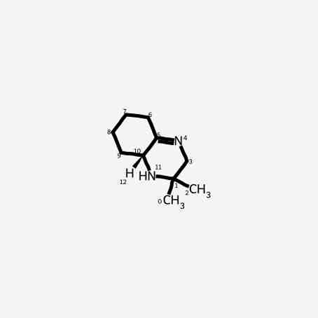 CC1(C)CN=C2CCCC[C@H]2N1